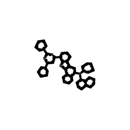 c1ccc(-c2cc(-c3cccc4c3oc3c5ccccc5c(N(c5ccccc5)c5cccc6ccccc56)cc43)nc(-c3ccccc3)n2)cc1